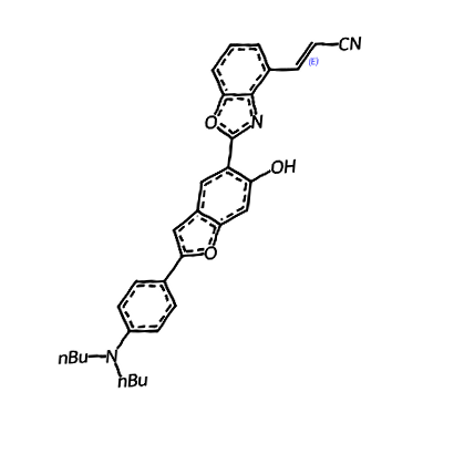 CCCCN(CCCC)c1ccc(-c2cc3cc(-c4nc5c(/C=C/C#N)cccc5o4)c(O)cc3o2)cc1